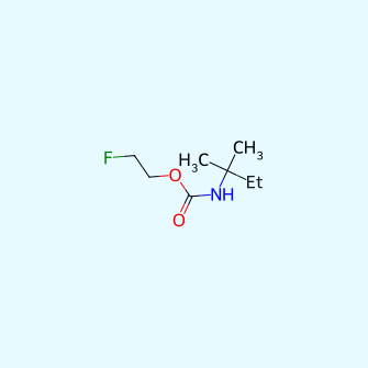 CCC(C)(C)NC(=O)OCCF